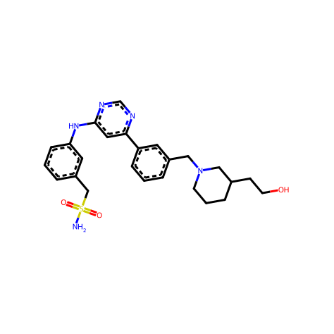 NS(=O)(=O)Cc1cccc(Nc2cc(-c3cccc(CN4CCCC(CCO)C4)c3)ncn2)c1